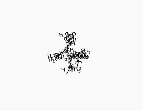 Cc1cc(=O)nc(NC(=O)NCCC[N+](C)(CCCCC[N+](C)(C)C)CCC[N+](C)(CCCCC[N+](C)(C)C)CCNC(=O)Nc2nc(=O)cc(C)[nH]2)[nH]1